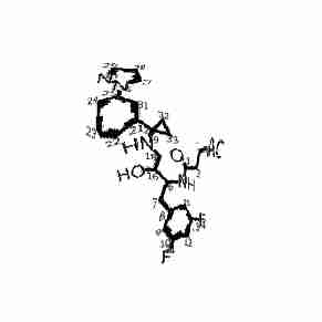 CC(=O)CCC(=O)NC(Cc1cc(F)cc(F)c1)C(O)CNC1(c2cccc(-n3cccn3)c2)CC1